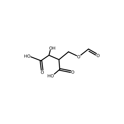 O=COCC(C(=O)O)C(O)C(=O)O